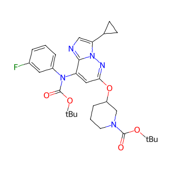 CC(C)(C)OC(=O)N1CCCC(Oc2cc(N(C(=O)OC(C)(C)C)c3cccc(F)c3)c3ncc(C4CC4)n3n2)C1